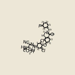 N#CC(=NNc1cc(Cl)c(Oc2ccc3c(c2)CCN(Cc2cccc(F)c2)C3=O)c(Cl)c1)C(=O)NC(=O)O